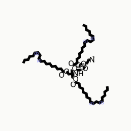 CCCCC/C=C\C/C=C\CCCCCCCC(=O)OCC(COC(=O)CCCCCCC/C=C\C/C=C\CCCCC)(COC(=O)CCCCCCC/C=C\C/C=C\CCCCC)NCCS(=O)(=O)OCCN(C)C